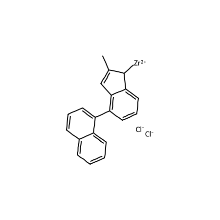 CC1=Cc2c(-c3cccc4ccccc34)cccc2[CH]1[Zr+2].[Cl-].[Cl-]